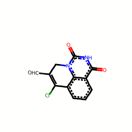 O=CC1=C(Cl)c2cccc3c(=O)[nH]c(=O)n(c23)C1